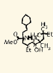 CC[C@@H](C[C@@H](O)C(C)(C)CC(C)(C)CC)C[C@](N)(CCC1CCCCC1)C(=O)OC